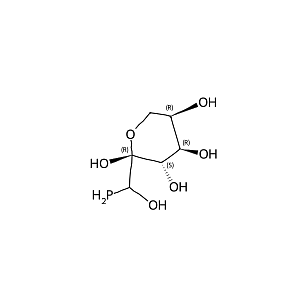 OC(P)[C@]1(O)OC[C@@H](O)[C@@H](O)[C@@H]1O